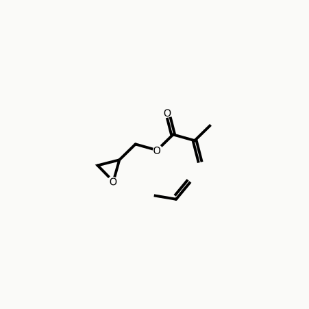 C=C(C)C(=O)OCC1CO1.C=CC